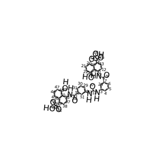 O=C(Nc1cccc(C(=O)Nc2ccc(S(=O)(=O)O)c3cccc(O)c23)c1)Nc1cccc(C(=O)Nc2ccc(S(=O)(=O)O)c3cccc(O)c23)c1